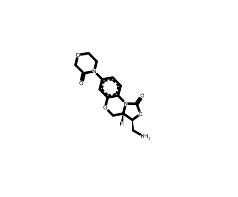 NC[C@@H]1OC(=O)N2c3ccc(N4CCOCC4=O)cc3OC[C@@H]12